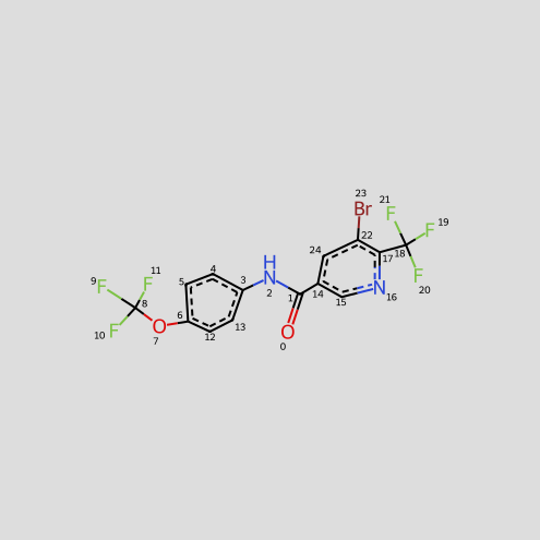 O=C(Nc1ccc(OC(F)(F)F)cc1)c1cnc(C(F)(F)F)c(Br)c1